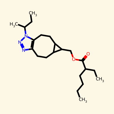 CCCCC(CC)C(=O)OCC1C2CCc3nnn(C(C)CC)c3CCC21